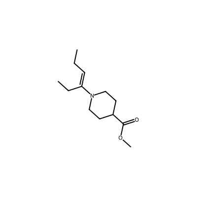 CC/C=C(\CC)N1CCC(C(=O)OC)CC1